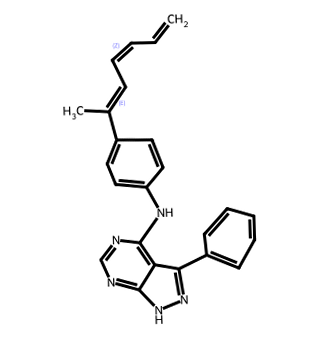 C=C/C=C\C=C(/C)c1ccc(Nc2ncnc3[nH]nc(-c4ccccc4)c23)cc1